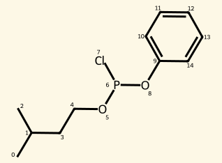 CC(C)CCOP(Cl)Oc1ccccc1